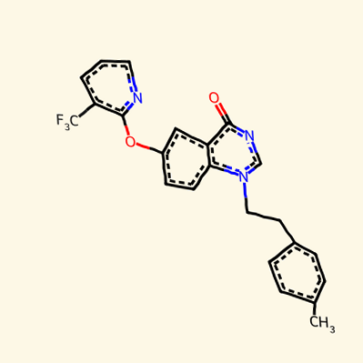 Cc1ccc(CCn2cnc(=O)c3cc(Oc4ncccc4C(F)(F)F)ccc32)cc1